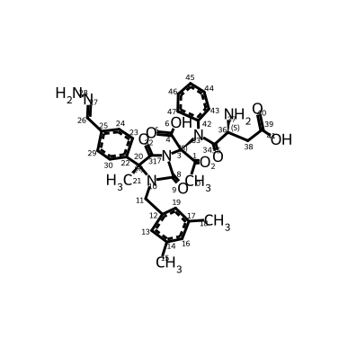 CC(=O)[C@@](C(=O)O)(N1C(=O)N(Cc2cc(C)cc(C)c2)[C@](C)(c2ccc(C=NN)cc2)C1=O)N(C(=O)[C@@H](N)CC(=O)O)c1ccccc1